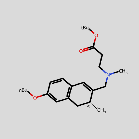 CCCCOc1ccc2c(c1)C[C@@H](C)C(CN(C)CCC(=O)OC(C)(C)C)=C2